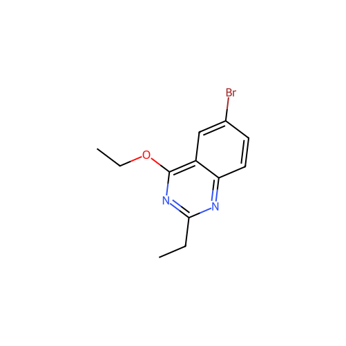 CCOc1nc(CC)nc2ccc(Br)cc12